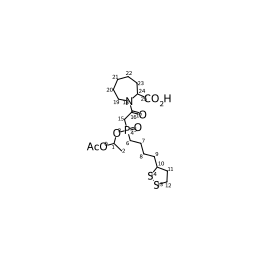 CC(=O)OC(C)OP(=O)(CCCCC1CCSS1)CC(=O)N1CCCCCC1C(=O)O